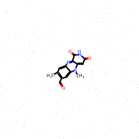 Cc1cc2nc3c(=O)[nH]c(=O)cc-3n(C)c2cc1C=O